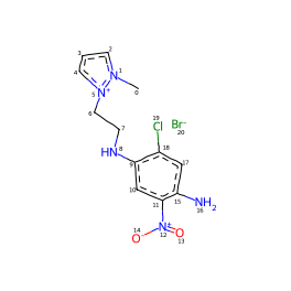 Cn1ccc[n+]1CCNc1cc([N+](=O)[O-])c(N)cc1Cl.[Br-]